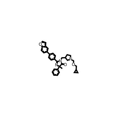 CC1(c2ccccc2)N=C(c2ccc(-c3ccc4occc4c3)cc2)N(CC2CCN(COCC3CC3)C2)C1=O